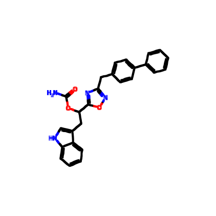 NC(=O)OC(Cc1c[nH]c2ccccc12)c1nc(Cc2ccc(-c3ccccc3)cc2)no1